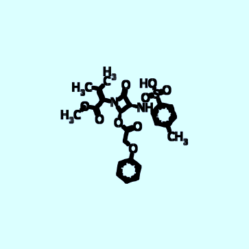 COC(=O)C(=C(C)C)N1C(=O)[C@@H](N)[C@H]1OC(=O)COc1ccccc1.Cc1ccc(S(=O)(=O)O)cc1